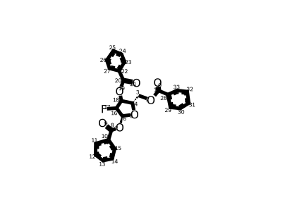 O=C(OC[C@@H]1O[C@@H](OC(=O)c2ccccc2)C(F)C1OC(=O)c1ccccc1)c1ccccc1